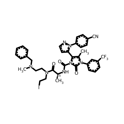 Cc1c(-c2ccnn2-c2ccc(C#N)cc2)n(C(=O)N[C@@H](C)C(=O)N(CCI)CCN(C)Cc2ccccc2)c(=O)n1-c1cccc(C(F)(F)F)c1